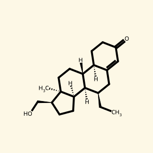 CC[C@@H]1CC2=CC(=O)CC[C@@H]2[C@H]2CC[C@]3(C)[C@H](CO)CC[C@@H]3[C@H]12